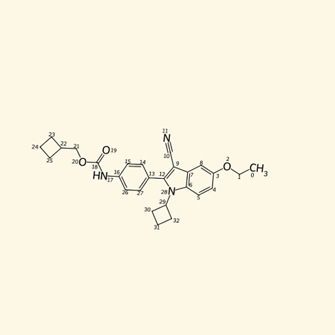 CCOc1ccc2c(c1)c(C#N)c(-c1ccc(NC(=O)OCC3CCC3)cc1)n2C1CCC1